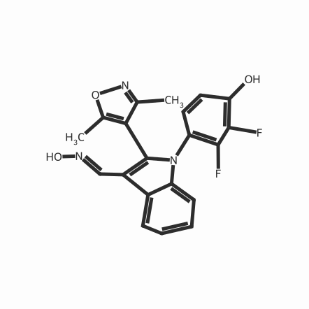 Cc1noc(C)c1-c1c(C=NO)c2ccccc2n1-c1ccc(O)c(F)c1F